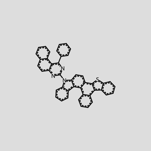 c1ccc(-c2nc(-n3c4ccccc4c4c5c6ccccc6c6c7ccccc7sc6c5ccc43)nc3ccc4ccccc4c23)cc1